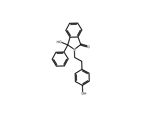 O=C1c2ccccc2C(O)(c2ccccc2)N1CCc1ccc(O)cc1